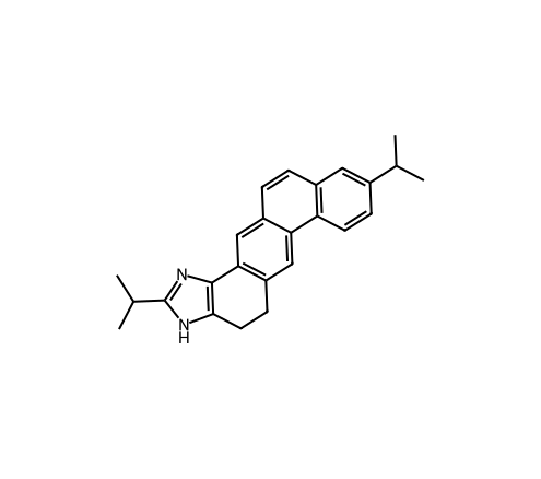 CC(C)c1ccc2c(ccc3cc4c(cc32)CCc2[nH]c(C(C)C)nc2-4)c1